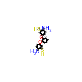 Nc1ccc(Oc2ccccc2Oc2ccc(N)c(S)c2)cc1S